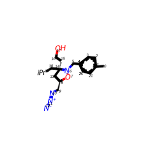 Cc1ccc(CN2O[C@@H](CN=[N+]=[N-])C[C@@]2(CCO)CC(C)C)cc1